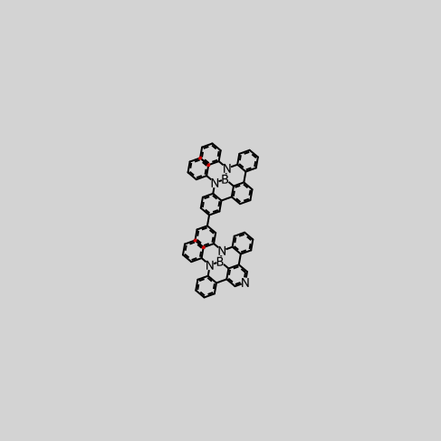 c1ccc(N2B3c4c(cccc4-c4cc(-c5cccc(N6B7c8c(cncc8-c8ccccc86)-c6ccccc6N7c6ccccc6)c5)ccc4N3c3ccccc3)-c3ccccc32)cc1